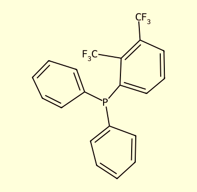 FC(F)(F)c1cccc(P(c2ccccc2)c2ccccc2)c1C(F)(F)F